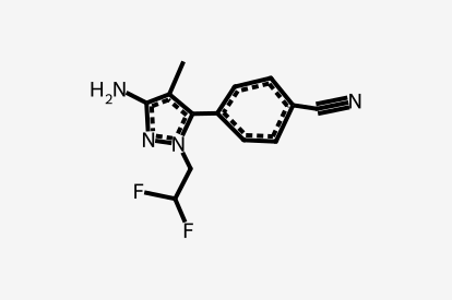 Cc1c(N)nn(CC(F)F)c1-c1ccc(C#N)cc1